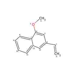 C=Cc1cc(OC)c2ccccc2c1